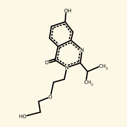 CC(C)c1nc2cc(O)ccc2c(=O)n1CCOCCO